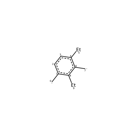 [CH2]c1ccc(CC)c([CH2])c1CC